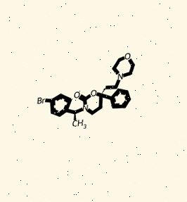 C[C@@H](c1ccc(Br)cc1)N1CC[C@](CCN2CCOCC2)(c2ccccc2)OC1=O